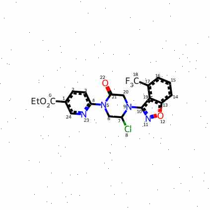 CCOC(=O)c1ccc(N2CC(Cl)N(c3noc4cccc(C(F)(F)F)c34)CC2=O)nc1